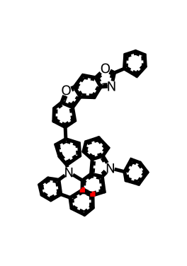 c1ccc(-c2nc3cc4c(cc3o2)oc2ccc(-c3ccc(N(c5ccccc5-c5ccccc5)c5cccc6c5c5ccccc5n6-c5ccccc5)cc3)cc24)cc1